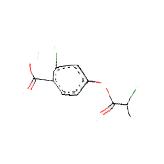 CC(Br)C(=O)Oc1ccc(C(=O)O)c(F)c1